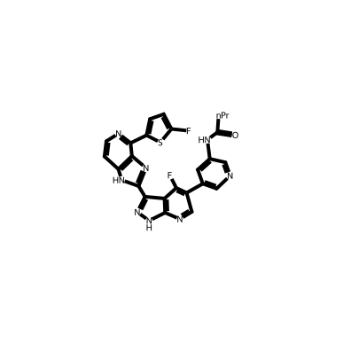 CCCC(=O)Nc1cncc(-c2cnc3[nH]nc(-c4nc5c(-c6ccc(F)s6)nccc5[nH]4)c3c2F)c1